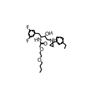 CCCCOCCOCC(=O)NC(Cc1cc(F)cc(F)c1)C(O)CNC1(c2cccc(CC)c2)CC1